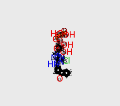 O=C1c2ccccc2-c2cc(Nc3nc(Cl)nc4c3ncn4[C@@H]3O[C@H](COP(=O)(O)CP(=O)(O)O)C(O)[C@@H]3O)ccc21